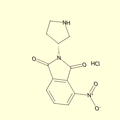 Cl.O=C1c2cccc([N+](=O)[O-])c2C(=O)N1[C@@H]1CCNC1